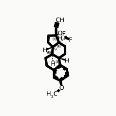 C#C[C@]1(O)CC[C@H]2[C@@H]3CCc4cc(OC)ccc4[C@H]3CC[C@@]21C(F)F